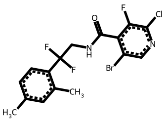 Cc1ccc(C(F)(F)CNC(=O)c2c(Br)cnc(Cl)c2F)c(C)c1